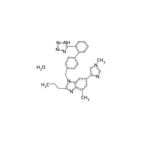 CCCc1nc2c(C)cc(-c3cn(C)cn3)cc2n1Cc1ccc(-c2ccccc2-c2nnn[nH]2)cc1.O